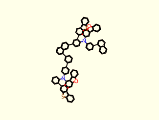 c1cc(-c2ccc(N(c3ccccc3-c3ccc4c(c3)sc3ccccc34)c3cccc4oc5ccccc5c34)cc2)cc(-c2cccc3ccc(-c4ccc(N(c5cccc(-c6cccc7ccccc67)c5)c5ccc6oc7ccccc7c6c5)c(-c5ccc6c(c5)sc5ccccc56)c4)cc23)c1